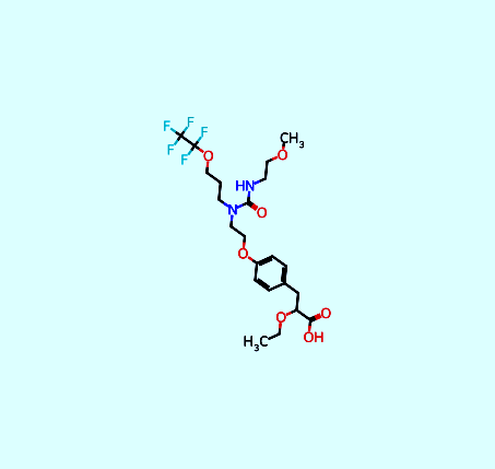 CCOC(Cc1ccc(OCCN(CCCOC(F)(F)C(F)(F)F)C(=O)NCCOC)cc1)C(=O)O